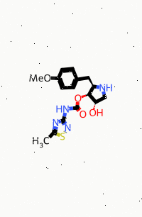 COc1ccc(C[C@H]2NC[C@H](O)[C@H]2OC(=O)Nc2nsc(C)n2)cc1